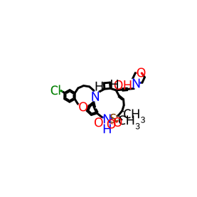 C[C@@H]1[C@@H](C)C/C=C/[C@](O)(C#CCN2CCOCC2)[C@@H]2CC[C@H]2CN2CCCCc3cc(Cl)ccc3COc3ccc(cc32)C(=O)NS1(=O)=O